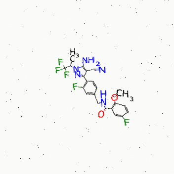 COc1ccc(F)cc1C(=O)NCc1ccc(-c2nn(C(C)C(F)(F)F)c(N)c2C#N)c(F)c1